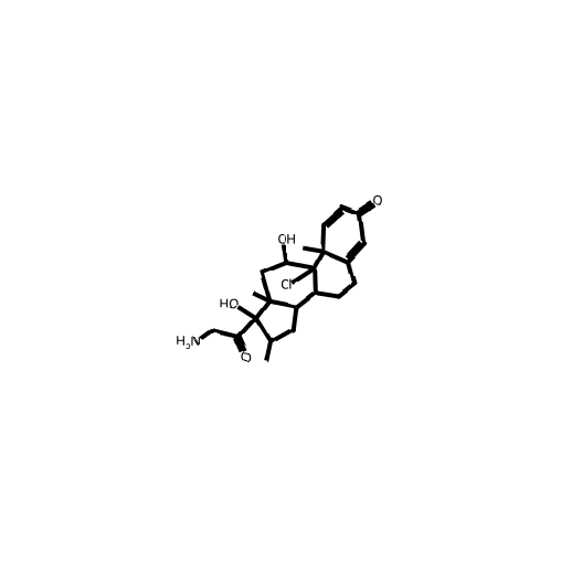 CC1CC2C3CCC4=CC(=O)C=CC4(C)C3(Cl)C(O)CC2(C)C1(O)C(=O)CN